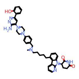 CN(CCCCCc1cccc2c1c1cccnc1n2C1CCC(=O)NC1=O)Cc1ccc(N2CCN(c3cc(-c4ccccc4O)nnc3N)CC2)cc1